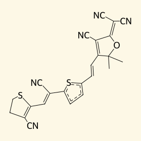 CC1(C)OC(=C(C#N)C#N)C(C#N)=C1/C=C/c1ccc(/C(C#N)=C/C2=C(C#N)CCS2)s1